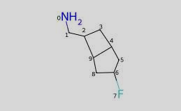 NCC1CC2CC(F)CC12